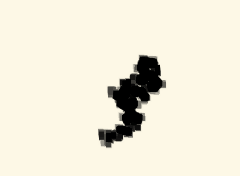 CC(c1nnc2c(F)cc(-c3cnn(CCOPI)c3)cn12)n1ccc2ncccc2c1=O